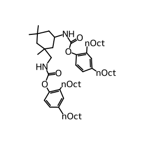 CCCCCCCCc1ccc(OC(=O)NCC2(C)CC(NC(=O)Oc3ccc(CCCCCCCC)cc3CCCCCCCC)CC(C)(C)C2)c(CCCCCCCC)c1